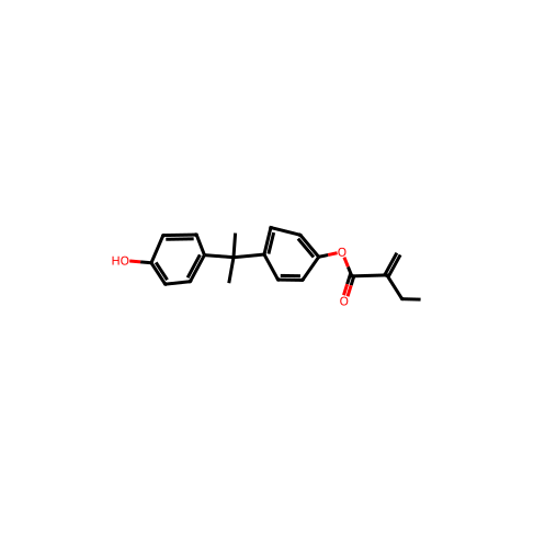 C=C(CC)C(=O)Oc1ccc(C(C)(C)c2ccc(O)cc2)cc1